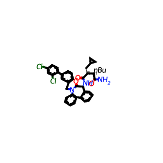 CCCC[C@H](C(N)=O)[C@@H](CC1CC1)C(=O)NC1C(=O)N(Cc2cccc(-c3ccc(Cl)cc3Cl)c2)c2ccccc2-c2ccccc21